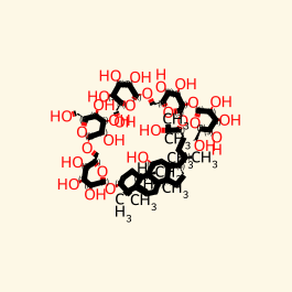 C[C@H](CC[C@@H](O[C@@H]1O[C@H](CO[C@@H]2O[C@H](CO)[C@@H](O)[C@H](O)[C@H]2O)[C@H](O)[C@H](O)[C@H]1O[C@@H]1O[C@H](CO)[C@@H](O)[C@H](O)[C@H]1O)C(C)(C)O)[C@@H]1CC[C@@]2(C)[C@@H]3CC=C4[C@H](CC[C@H](O[C@@H]5O[C@H](CO[C@@H]6O[C@H](CO)[C@@H](O)[C@H](O)[C@H]6O)[C@@H](O)[C@H](O)[C@H]5O)C4(C)C)[C@]3(C)[C@H](O)C[C@]12C